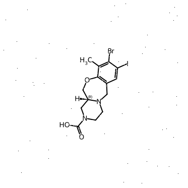 Cc1c(Br)c(I)cc2c1OC[C@H]1CN(C(=O)O)CCN1C2